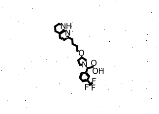 O=C(O)[C@@H](c1cccc(C(F)(F)F)c1)N1CC[C@@H](OCCCCc2ccc3c(n2)NCCC3)C1